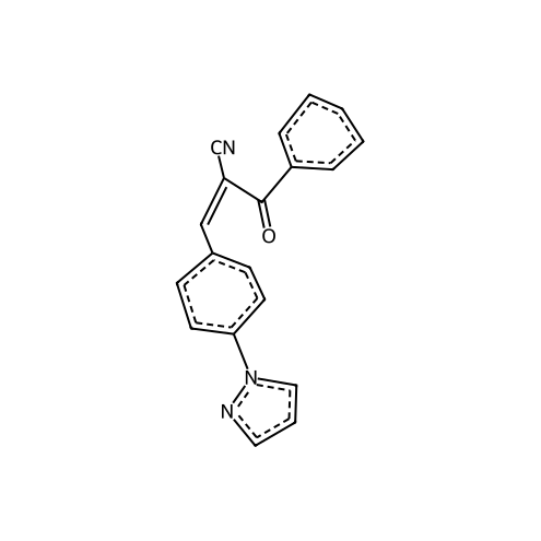 N#CC(=Cc1ccc(-n2cccn2)cc1)C(=O)c1ccccc1